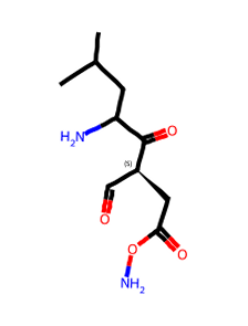 CC(C)CC(N)C(=O)[C@H](C=O)CC(=O)ON